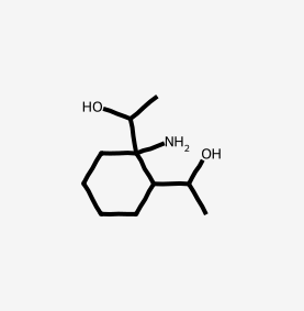 CC(O)C1CCCCC1(N)C(C)O